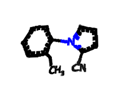 Cc1ccccc1-n1cccc1C#N